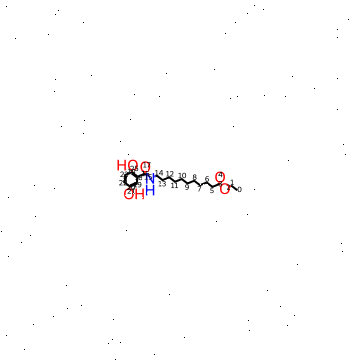 CCOC(=O)CCCCCCCCCCNC(=O)c1cc(O)ccc1O